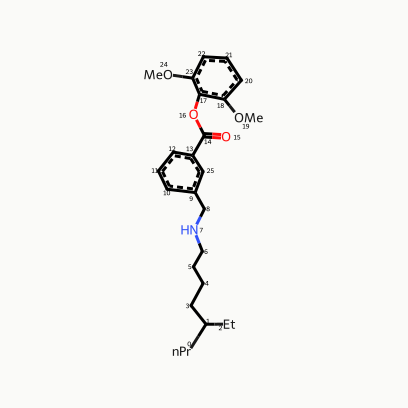 CCCC(CC)CCCCNCc1cccc(C(=O)Oc2c(OC)cccc2OC)c1